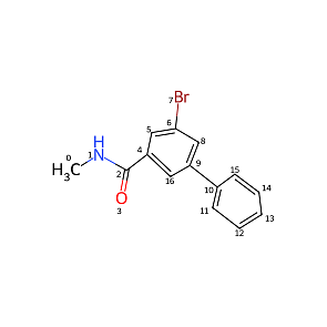 CNC(=O)c1cc(Br)cc(-c2ccccc2)c1